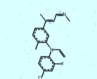 C=CN(c1cc(/C(C)=C/C=N\C)ccc1C)c1ccc(Cl)cc1F